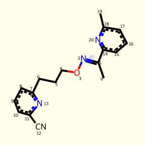 C/C(=N\OCCCc1cccc(C#N)n1)c1cccc(C)n1